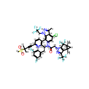 Cc1nn(CC(F)(F)F)c2c(-c3ccc(C#CC(C)(C)S(C)(=O)=O)nc3[C@H](Cc3cc(F)cc(F)c3)NC(=O)Cn3nc(C(F)(F)F)c4c3C(F)(F)[C@@H]3C[C@H]43)ccc(Cl)c12